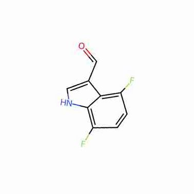 O=Cc1c[nH]c2c(F)ccc(F)c12